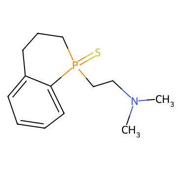 CN(C)CCP1(=S)CCCc2ccccc21